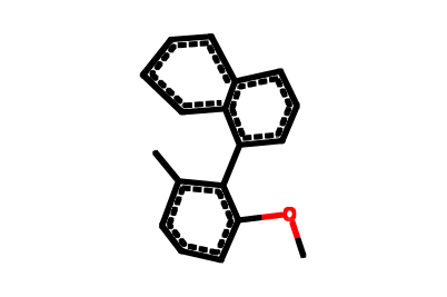 COc1cccc(C)c1-c1cccc2ccccc12